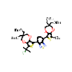 CC(C)COCC1(COCC(C)C)COc2c(-c3ccc(-c4sc(C(C)(C)Cl)c5c4OCC(COCC(C)C)(COCC(C)C)CO5)c4nsnc34)sc(C(C)(C)C)c2OC1